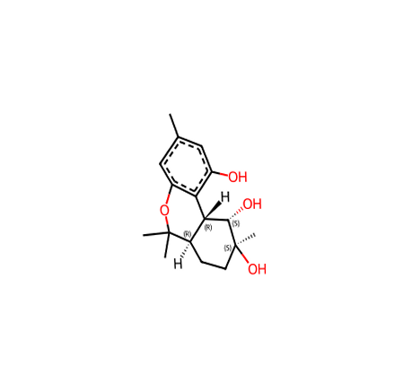 Cc1cc(O)c2c(c1)OC(C)(C)[C@@H]1CC[C@](C)(O)[C@@H](O)[C@@H]21